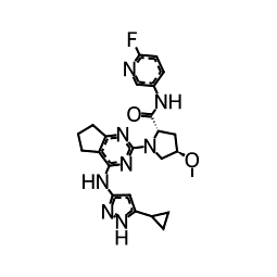 CO[C@@H]1C[C@@H](C(=O)Nc2ccc(F)nc2)N(c2nc3c(c(Nc4cc(C5CC5)[nH]n4)n2)CCC3)C1